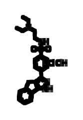 CCN(CC)CCNS(=O)(=O)c1ccc(-c2n[nH]c3c2Cc2ccccc2-3)cc1.Cl.Cl